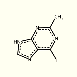 Cc1nc(I)c2nc[nH]c2n1